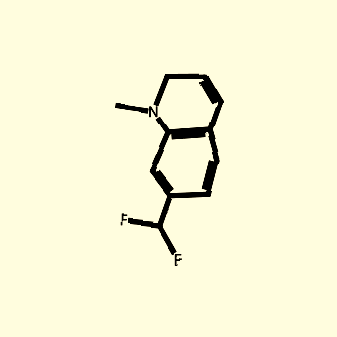 CN1CC=Cc2ccc(C(F)F)cc21